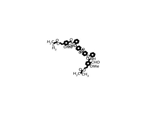 C=C(C)C(=O)OCCc1ccc(C(=O)Nc2ccccc2Oc2ccc(S(=O)(=O)c3ccc(Oc4ccccc4NC(=O)c4ccc(CCOC(=O)C(=C)C)c(OC)c4C=O)cc3)cc2)c(C=O)c1OC